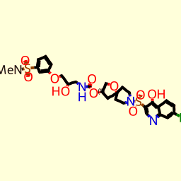 CNS(=O)(=O)c1cccc(OCC(O)CNC(=O)O[C@H]2COC3(CCN(S(=O)(=O)c4cnc5cc(F)ccc5c4O)CC3)C2)c1